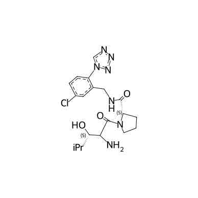 CC(C)[C@H](O)C(N)C(=O)N1CCC[C@H]1C(=O)NCc1cc(Cl)ccc1-n1cnnn1